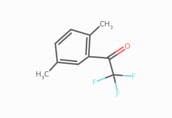 Cc1ccc(C)c(C(=O)C(F)(F)F)c1